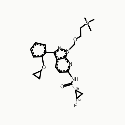 C[Si](C)(C)CCOCn1nc(-c2ccccc2OC2CC2)c2ccc(NC(=O)[C@@H]3C[C@@H]3F)nc21